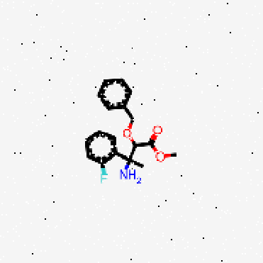 COC(=O)C(OCc1ccccc1)C(C)(N)c1ccccc1F